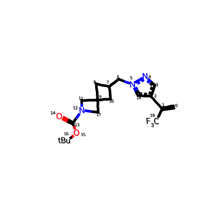 C=C(c1cnn(CC2CC3(C2)CN(C(=O)OC(C)(C)C)C3)c1)C(F)(F)F